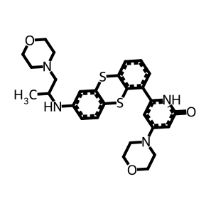 CC(CN1CCOCC1)Nc1ccc2c(c1)Sc1cccc(-c3cc(N4CCOCC4)cc(=O)[nH]3)c1S2